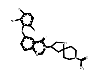 N#Cc1c(F)ccc(F)c1Oc1ccc2ncn(C3CNC4(CCN(C(=O)C(F)(F)F)CC4)C3)c(=O)c2c1